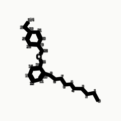 CCCCCCCCCCc1ccccc1COCc1ccc(CI)cc1